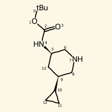 CC(C)(C)OC(=O)N[C@H]1CNC[C@@H](C2CC2)C1